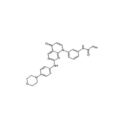 C=CC(=O)Nc1cccc(-n2ccc(=O)c3cnc(Nc4ccc(N5CCOCC5)cc4)nc32)c1